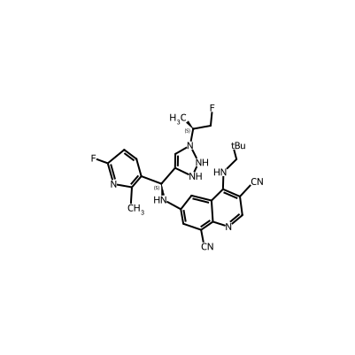 Cc1nc(F)ccc1[C@H](Nc1cc(C#N)c2ncc(C#N)c(NCC(C)(C)C)c2c1)C1=CN([C@@H](C)CF)NN1